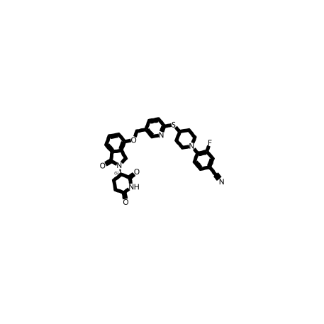 N#Cc1ccc(N2CCC(Sc3ccc(COc4cccc5c4CN([C@H]4CCC(=O)NC4=O)C5=O)cn3)CC2)c(F)c1